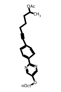 CCCCCCCCOc1cnc(-c2ccc(C#CCCCC(C)OC(C)=O)cc2)nc1